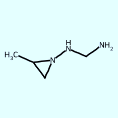 CC1CN1NCN